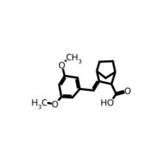 COc1cc(C=C2C3CCC(C3)C2C(=O)O)cc(OC)c1